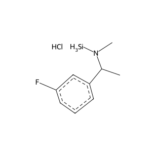 CC(c1cccc(F)c1)N(C)[SiH3].Cl